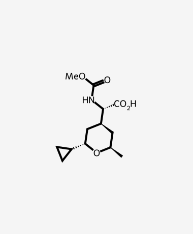 COC(=O)N[C@H](C(=O)O)[C@H]1C[C@@H](C)O[C@H](C2CC2)C1